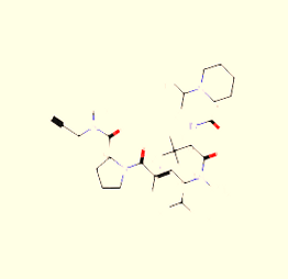 C#CCN(C)C(=O)[C@@H]1CCCN1C(=O)/C(C)=C/[C@H](C(C)C)N(C)C(=O)[C@@H](NC(=O)[C@H]1CCCCN1C(C)C)C(C)(C)C